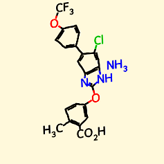 Cc1ccc(Oc2nc3cc(-c4ccc(OC(F)(F)F)cc4)c(Cl)cc3[nH]2)cc1C(=O)O.N